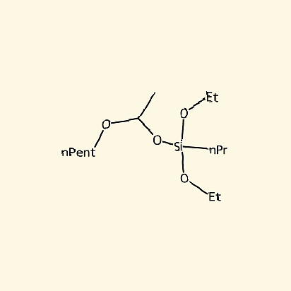 CCCCCOC(C)O[Si](CCC)(OCC)OCC